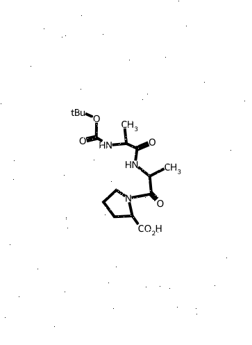 CC(NC(=O)OC(C)(C)C)C(=O)NC(C)C(=O)N1CCCC1C(=O)O